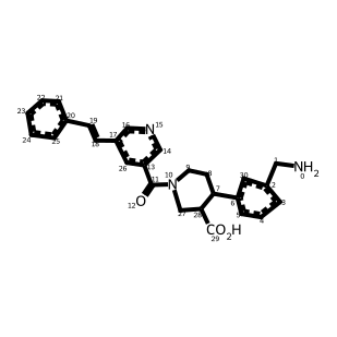 NCc1cccc(C2CCN(C(=O)c3cncc(C=Cc4ccccc4)c3)CC2C(=O)O)c1